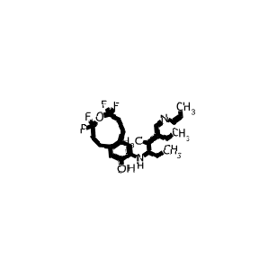 C\C=C/N=C\C(CC)=C(/C)C(CC)Nc1cc2c(cc1O)CCC(F)(F)OC(F)(F)CC2